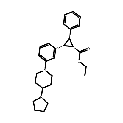 CCOC(=O)[C@@H]1[C@H](c2ccccc2)[C@H]1c1cccc(N2CCC(N3CCCC3)CC2)c1